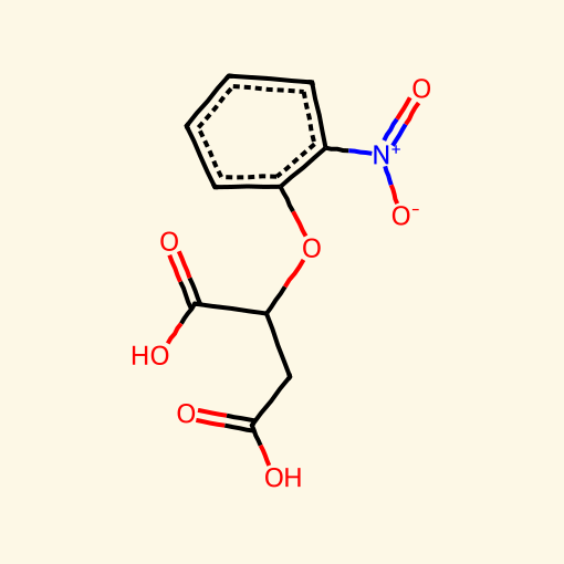 O=C(O)CC(Oc1ccccc1[N+](=O)[O-])C(=O)O